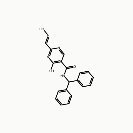 O=C(NC(c1ccccc1)c1ccccc1)c1cnc(/C=N/O)nc1O